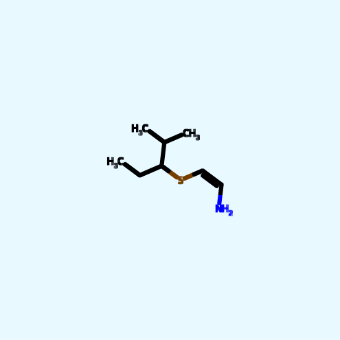 CCC(S/C=C\N)C(C)C